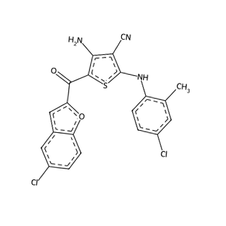 Cc1cc(Cl)ccc1Nc1sc(C(=O)c2cc3cc(Cl)ccc3o2)c(N)c1C#N